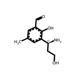 Cc1cc(C=O)c(O)c([C@@H](N)CCO)c1